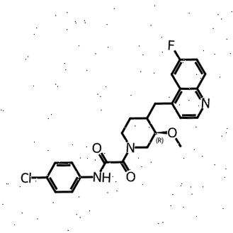 CO[C@H]1CN(C(=O)C(=O)Nc2ccc(Cl)cc2)CCC1Cc1ccnc2ccc(F)cc12